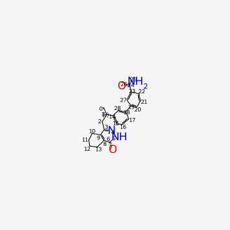 C[C@H](Cc1n[nH]c(=O)c2c1CCCC2)c1cccc(-c2cccc(C(N)=O)c2)c1